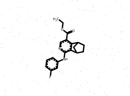 CCOC(=O)c1cnc(Nc2cccc(F)c2)c2c1C1CCC2C1